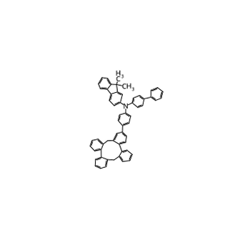 CC1(C)c2ccccc2-c2ccc(N(c3ccc(-c4ccccc4)cc3)c3ccc(-c4ccc5c(c4)Cc4ccccc4-c4ccccc4Cc4ccccc4-5)cc3)cc21